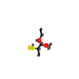 CC.CCOC(=O)C(C)S